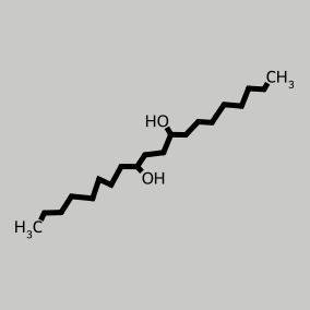 CCCCCCCCC(O)CCC(O)CCCCCCCC